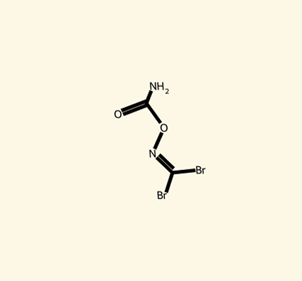 NC(=O)ON=C(Br)Br